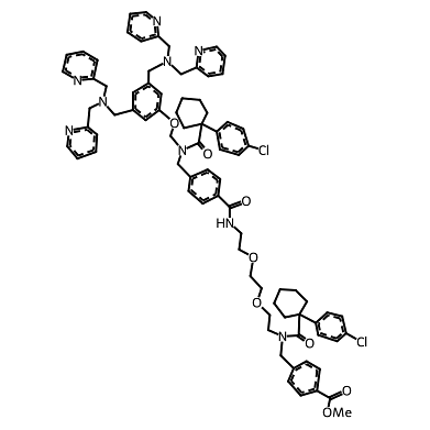 COC(=O)c1ccc(CN(CCOCCOCCNC(=O)c2ccc(CN(COc3cc(CN(Cc4ccccn4)Cc4ccccn4)cc(CN(Cc4ccccn4)Cc4ccccn4)c3)C(=O)C3(c4ccc(Cl)cc4)CCCCC3)cc2)C(=O)C2(c3ccc(Cl)cc3)CCCCC2)cc1